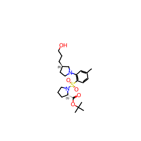 Cc1ccc(S(=O)(=O)N2CCC[C@H]2C(=O)OC(C)(C)C)c(N2CC[C@@H](CCCO)C2)c1